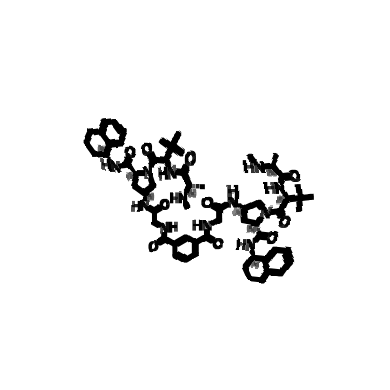 CN[C@@H](C)C(=O)NC(C(=O)N1C[C@@H](NC(=O)CNC(=O)c2cccc(C(=O)NCC(=O)N[C@H]3C[C@@H](C(=O)N[C@@H]4CCCc5ccccc54)N(C(=O)[C@@H](NC(=O)[C@H](C)NC)C(C)(C)C)C3)c2)C[C@H]1C(=O)N[C@@H]1CCCc2ccccc21)C(C)(C)C